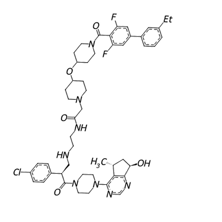 CCc1cccc(-c2cc(F)c(C(=O)N3CCC(OC4CCN(CC(=O)NCCNC[C@@H](C(=O)N5CCN(c6ncnc7c6[C@H](C)C[C@H]7O)CC5)c5ccc(Cl)cc5)CC4)CC3)c(F)c2)c1